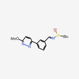 COc1ccc(-c2cccc(/C=N/[S+]([O-])C(C)(C)C)c2)nn1